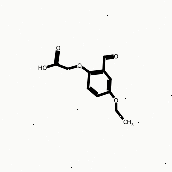 CCOc1ccc(OCC(=O)O)c(C=O)c1